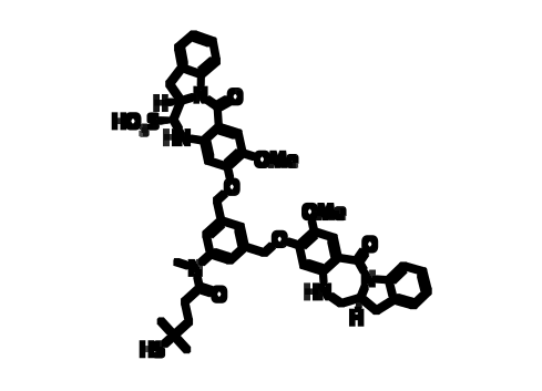 COc1cc2c(cc1OCc1cc(COc3cc4c(cc3OC)C(=O)N3c5ccccc5C[C@H]3[C@H](S(=O)(=O)O)N4)cc(N(C)C(=O)CCC(C)(C)S)c1)NC[C@@H]1Cc3ccccc3N1C2=O